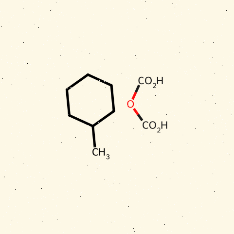 CC1CCCCC1.O=C(O)OC(=O)O